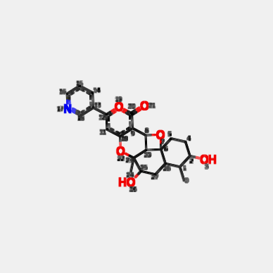 CC1C(O)CCC23OC4c5c(cc(-c6cccnc6)oc5=O)OC(C)(C(O)CC12)C43